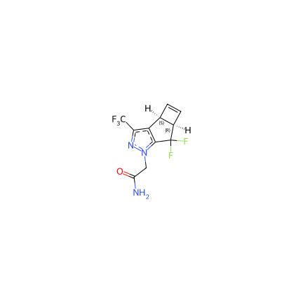 NC(=O)Cn1nc(C(F)(F)F)c2c1C(F)(F)[C@@H]1C=C[C@H]21